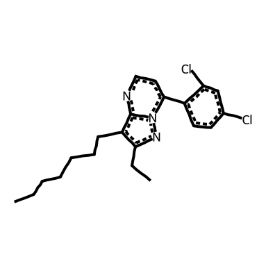 CCCCCCCc1c(CC)nn2c(-c3ccc(Cl)cc3Cl)ccnc12